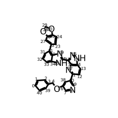 c1ccc(COc2cncc(-c3ccc4[nH]nc(-c5nc6c(-c7ccc8c(c7)OCO8)cccc6[nH]5)c4n3)c2)cc1